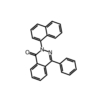 O=c1c2ccccc2c(-c2ccccc2)nn1-c1cccc2ccccc12